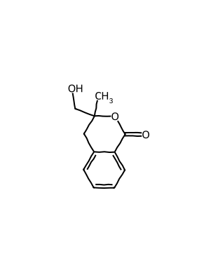 CC1(CO)Cc2ccccc2C(=O)O1